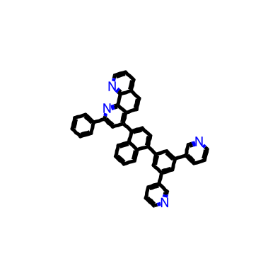 c1ccc(-c2cc(-c3ccc(-c4cc(-c5cccnc5)cc(-c5cccnc5)c4)c4ccccc34)c3ccc4cccnc4c3n2)cc1